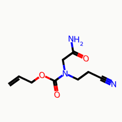 C=CCOC(=O)N(CCC#N)CC(N)=O